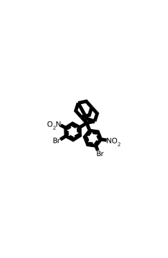 O=[N+]([O-])c1cc(C2(c3ccc(Br)c([N+](=O)[O-])c3)C3CC4CC(C3)CC2C4)ccc1Br